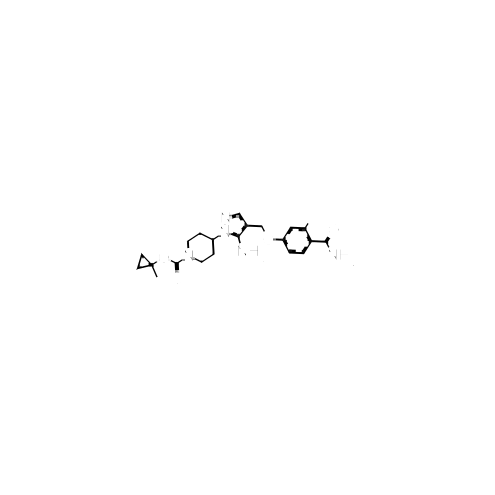 CC1(OC(=O)N2CCC(n3ncc(COc4ccc(C(N)=O)c(F)c4)c3N)CC2)CC1